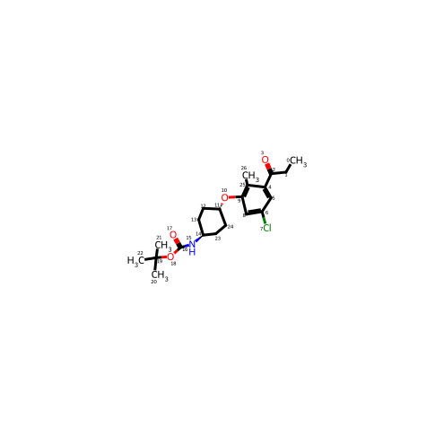 CCC(=O)c1cc(Cl)cc(O[C@H]2CC[C@H](NC(=O)OC(C)(C)C)CC2)c1C